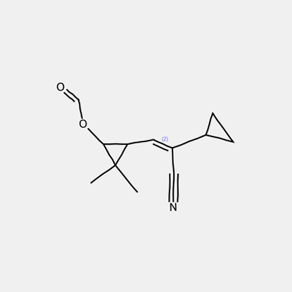 CC1(C)C(/C=C(\C#N)C2CC2)C1OC=O